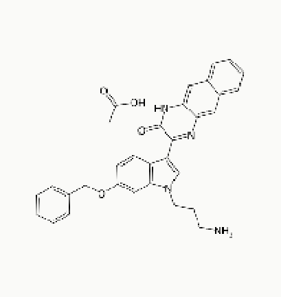 CC(=O)O.NCCCn1cc(-c2nc3cc4ccccc4cc3[nH]c2=O)c2ccc(OCc3ccccc3)cc21